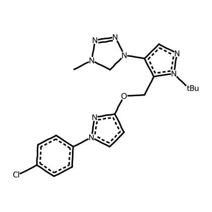 CN1CN(c2cnn(C(C)(C)C)c2COc2ccn(-c3ccc(Cl)cc3)n2)N=N1